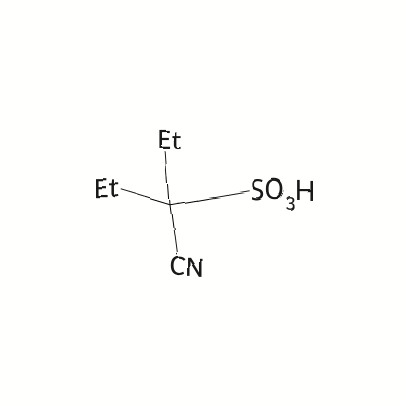 CCC(C#N)(CC)S(=O)(=O)O